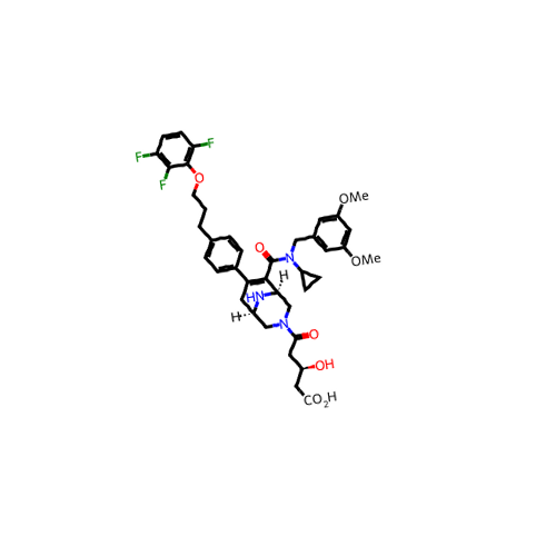 COc1cc(CN(C(=O)C2=C(c3ccc(CCCOc4c(F)ccc(F)c4F)cc3)C[C@@H]3CN(C(=O)C[C@@H](O)CC(=O)O)C[C@H]2N3)C2CC2)cc(OC)c1